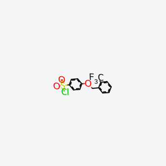 O=S(=O)(Cl)c1ccc(OCc2ccccc2C(F)(F)F)cc1